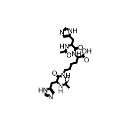 CC(=O)NC(Cc1cnc[nH]1)C(=O)NCCCCC(NC(=O)C(Cc1cnc[nH]1)NC(C)=O)C(=O)O